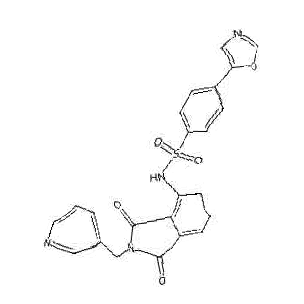 O=C1C2=CCCC(NS(=O)(=O)c3ccc(-c4cnco4)cc3)=C2C(=O)N1Cc1cccnc1